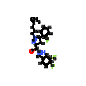 CCCCCN1N=C(C(=O)NCc2ccc(F)c(F)c2)CC1c1ccccc1F